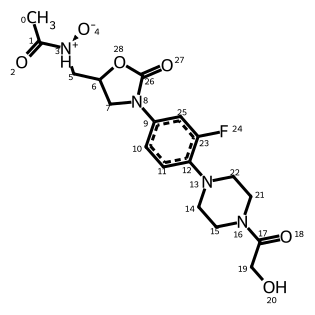 CC(=O)[N@@H+]([O-])CC1CN(c2ccc(N3CCN(C(=O)CO)CC3)c(F)c2)C(=O)O1